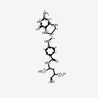 N=CC(CC(NC(=O)c1ccc(NC[C@H]2CNc3nc(N)[nH]c(=O)c3N2)cc1)C(=O)O)C(=O)O